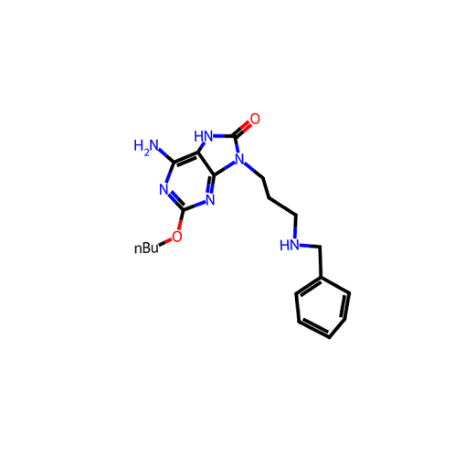 CCCCOc1nc(N)c2[nH]c(=O)n(CCCNCc3ccccc3)c2n1